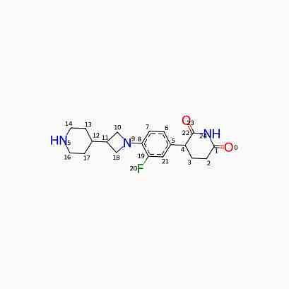 O=C1CCC(c2ccc(N3CC(C4CCNCC4)C3)c(F)c2)C(=O)N1